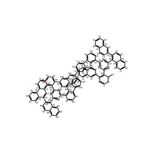 CC1CC=CC(c2ccc3ccccc3c2)=C1c1nc(-c2c(-c3ccc4ccccc4c3)ccc3ccccc23)nc(-c2cccc3c2sc2cc(-c4ccc5ccc(-c6ccccc6-c6nc(-c7c(-c8cc9ccccc9c9ccccc89)ccc8ccccc78)nc(-c7cccc8c7sc7ccccc78)n6)cc5c4)ccc23)n1